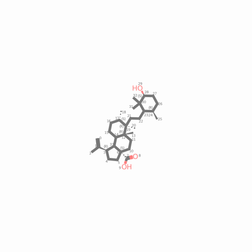 C=C(C)[C@@H]1CC[C@]2(C(=O)O)CC[C@]3(C)C(CC[C@H](C)[C@@]3(C)CCC3[C@H](C)CC[C@H](O)C3(C)C)C12